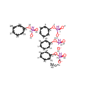 O=[PH]([O-])Oc1ccccc1.O=[PH]([O-])Oc1ccccc1.O=[PH]([O-])Oc1ccccc1.O=[PH]([O-])Oc1ccccc1.[Mo+4]